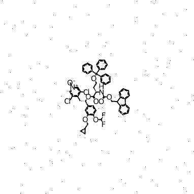 O=C(N[C@H](CCOC(c1ccccc1)(c1ccccc1)c1ccccc1)C(=O)O[C@@H](Cc1c(Cl)c[n+]([O-])cc1Cl)c1ccc(OC(F)F)c(OCC2CC2)c1)OCC1c2ccccc2-c2ccccc21